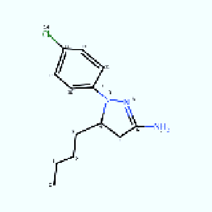 CCCCC1CC(N)=NN1c1ccc(Cl)cc1